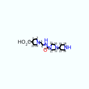 O=C(O)C1CCN(CCNC(=O)N2CCN(C3CCNCC3)CC2)CC1